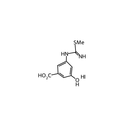 CSC(=N)Nc1cc(O)cc(C(=O)O)c1.I